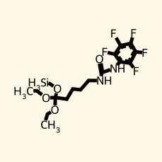 CCOC(CCCCNC(=O)Nc1c(F)c(F)c(F)c(F)c1F)(O[SiH3])OCC